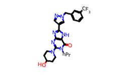 CCCn1c(N2CCC(O)CC2)nc2nc(-c3cnn(Cc4cccc(C(F)(F)F)c4)c3)[nH]c2c1=O